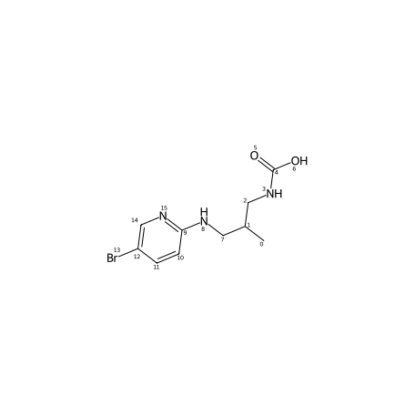 CC(CNC(=O)O)CNc1ccc(Br)cn1